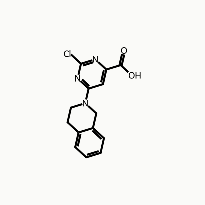 O=C(O)c1cc(N2CCc3ccccc3C2)nc(Cl)n1